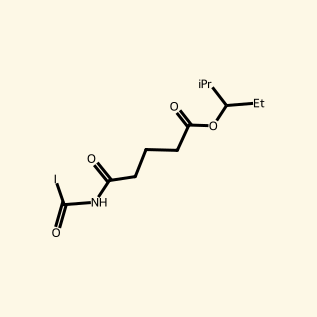 CCC(OC(=O)CCCC(=O)NC(=O)I)C(C)C